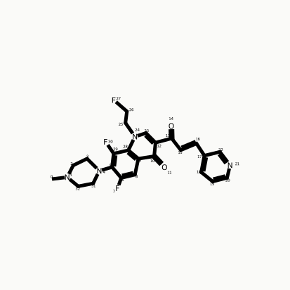 CN1CCN(c2c(F)cc3c(=O)c(C(=O)C=Cc4cccnc4)cn(CCF)c3c2F)CC1